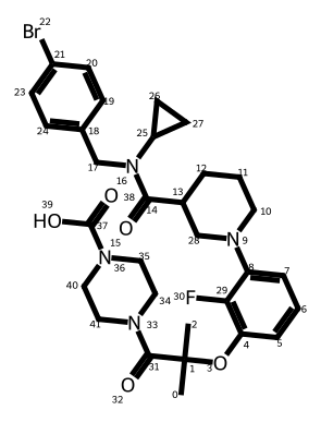 CC(C)(Oc1cccc(N2CCCC(C(=O)N(Cc3ccc(Br)cc3)C3CC3)C2)c1F)C(=O)N1CCN(C(=O)O)CC1